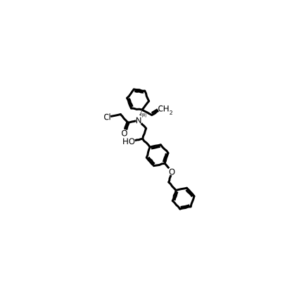 C=C[C@@]1(N(CC(O)c2ccc(OCc3ccccc3)cc2)C(=O)CCl)C=CC=CC1